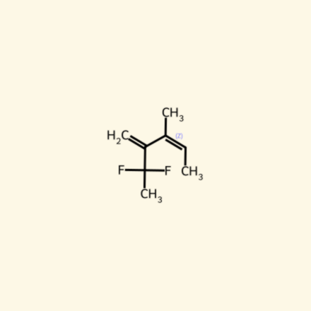 C=C(/C(C)=C\C)C(C)(F)F